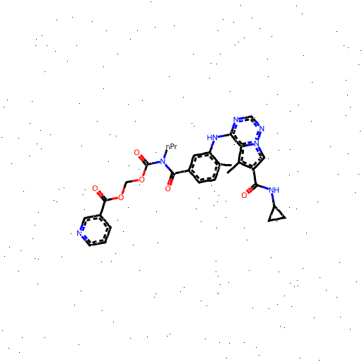 CCCN(C(=O)OCOC(=O)c1cccnc1)C(=O)c1ccc(C)c(Nc2ncnn3cc(C(=O)NC4CC4)c(C)c23)c1